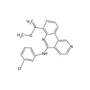 C=C(OC)c1cccc2c1nc(Nc1cccc(Cl)c1)c1ccncc12